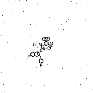 CS(=O)(=O)c1cc(C(N)NCCN2Cc3ccc(F)cc3CC2Cc2ccc(F)cc2)cc(S(C)(=O)=O)c1